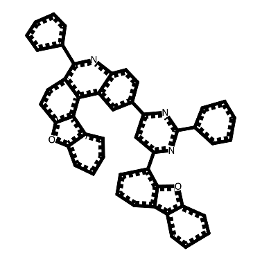 c1ccc(-c2nc(-c3ccc4nc(-c5ccccc5)c5ccc6oc7ccccc7c6c5c4c3)cc(-c3cccc4c3oc3ccccc34)n2)cc1